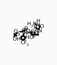 C#C[C@]1(F)C(n2cnc3c(=O)[nH]c(N)nc32)O[C@H](COP(=O)(NCc2ccc(C(F)(F)F)cc2)OCCSC(=O)C(C)(C)CO)[C@H]1O